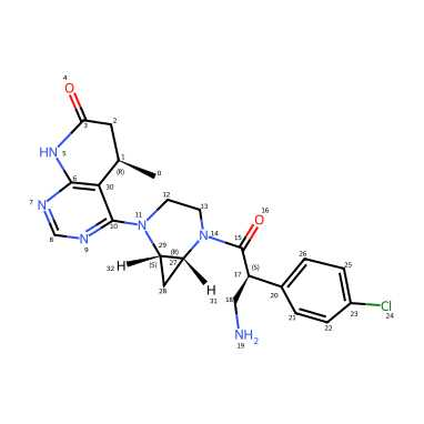 C[C@@H]1CC(=O)Nc2ncnc(N3CCN(C(=O)[C@H](CN)c4ccc(Cl)cc4)[C@@H]4C[C@@H]43)c21